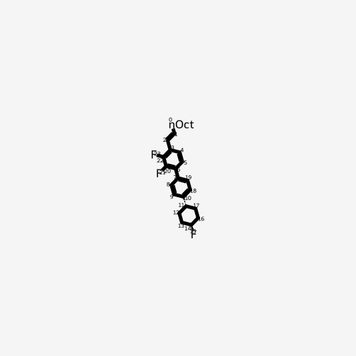 CCCCCCCCC=Cc1ccc(-c2ccc([C@H]3CC[C@H](F)CC3)cc2)c(F)c1F